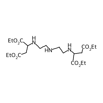 CCOC(=O)CC(NCCNCCNC(CC(=O)OCC)C(=O)OCC)C(=O)OCC